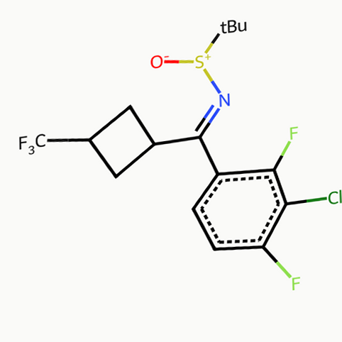 CC(C)(C)[S+]([O-])/N=C(/c1ccc(F)c(Cl)c1F)C1CC(C(F)(F)F)C1